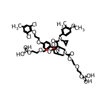 COc1ccc(CN(C(=O)C2=C(c3ccc(OCCOc4c(Cl)cc(C)cc4Cl)cc3)CC3CN(C(=O)OCCOCCON(O)O)CC2N3C(=O)OCCOCCON(O)O)C2CC2)cc1C